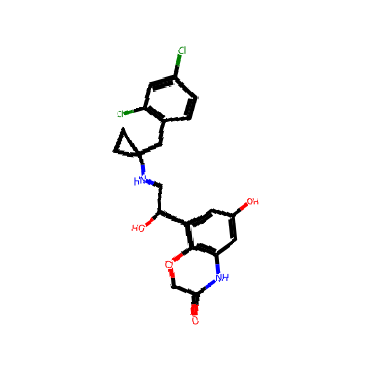 O=C1COc2c(cc(O)cc2C(O)CNC2(Cc3ccc(Cl)cc3Cl)CC2)N1